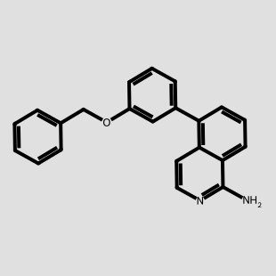 Nc1nccc2c(-c3cccc(OCc4ccccc4)c3)cccc12